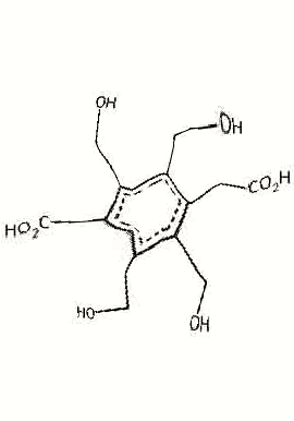 O=C(O)c1c(CO)c(CO)c(C(=O)O)c(CO)c1CO